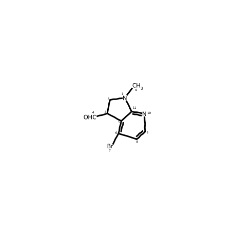 CN1CC(C=O)c2c(Br)ccnc21